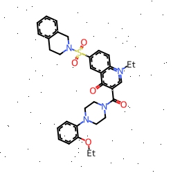 CCOc1ccccc1N1CCN(C(=O)c2cn(CC)c3ccc(S(=O)(=O)N4CCc5ccccc5C4)cc3c2=O)CC1